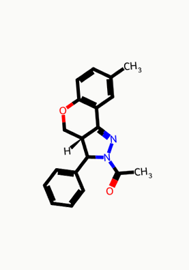 CC(=O)N1N=C2c3cc(C)ccc3OC[C@H]2C1c1ccccc1